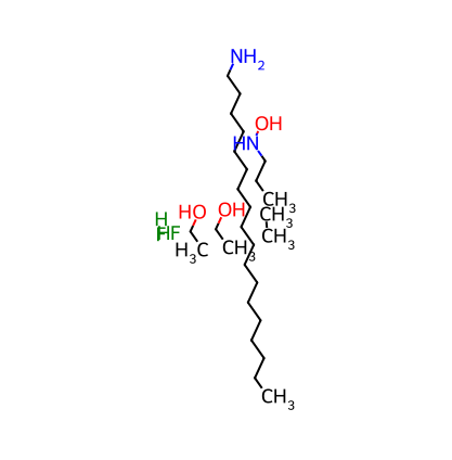 CC.CCCCCCCCCCCCCCCCCCN.CCCNO.CCO.CCO.F.F